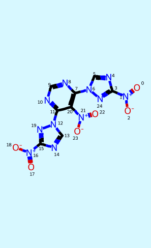 O=[N+]([O-])c1ncn(-c2ncnc(-n3cnc([N+](=O)[O-])n3)c2[N+](=O)[O-])n1